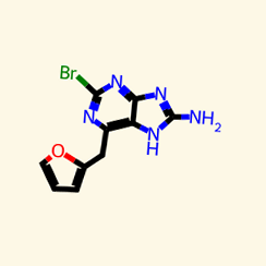 Nc1nc2nc(Br)nc(Cc3ccco3)c2[nH]1